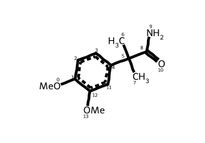 COc1ccc(C(C)(C)C(N)=O)cc1OC